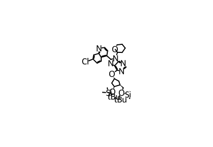 CC(C)(C)[Si](C)(C)OC[C@@H]1C[C@@H](Oc2ncnc3c2nc(-c2ccnc4cc(Cl)ccc24)n3C2CCCCO2)C[C@@H]1O[Si](C)(C)C(C)(C)C